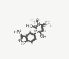 CCCc1nsc2ccc(N3C(O)C=C(C(F)(F)F)N(C)C3O)cc12